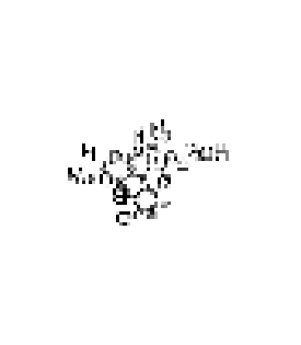 COC(=O)C1=C(C)NC(C)=C(C(=O)OCCO)C1c1cccc(Cl)c1Cl